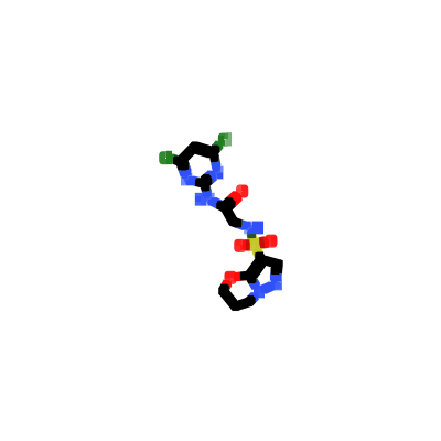 O=C(CNS(=O)(=O)c1cnn2c1OCCC2)Nc1nc(Cl)cc(Cl)n1